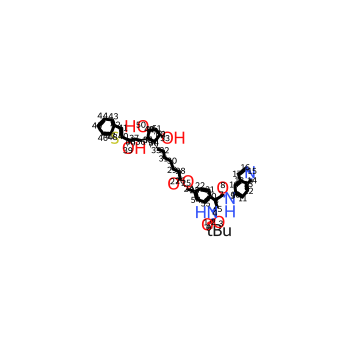 CC(C)(C)OC(=O)NCC(C(=O)Nc1ccc2cnccc2c1)c1ccc(COC(=O)CCCCCC[C@@H]2[C@@H](CC[C@@H](O)c3cc4ccccc4s3)[C@H](O)C[C@H]2O)cc1